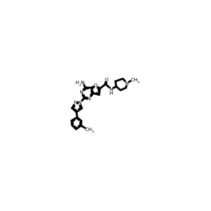 Cc1cccc(-c2cnn(-c3nc(N)c4oc(C(=O)NC5CCN(C)CC5)cc4n3)c2)c1